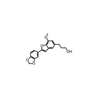 COc1cc(CCCO)cc2cc(-c3ccc4c(c3)OCO4)oc12